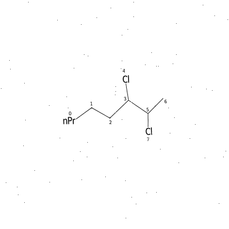 CCCCCC(Cl)C(C)Cl